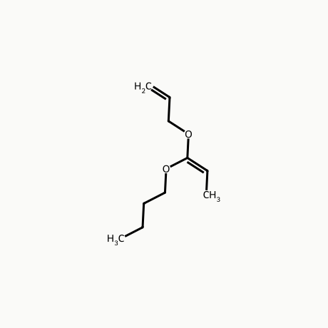 C=CCOC(=CC)OCCCC